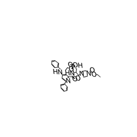 CCOC(=O)N1CCN(C(=O)C(CP(=O)(O)OCC)NC(=O)c2cc(NCc3ccccc3)cc(-c3ccccc3)n2)CC1